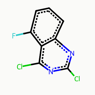 Fc1cccc2nc(Cl)nc(Cl)c12